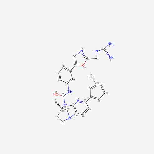 N=C(N)NCc1ncc(-c2cccc(NC(O)N3c4nc(-c5cccc(C(F)(F)F)c5)ccc4N4CC[C@H]3C4)c2)o1